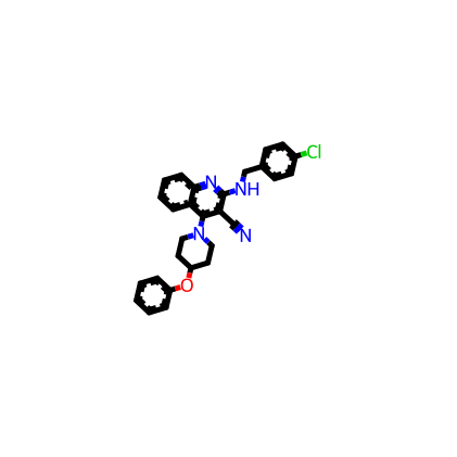 N#Cc1c(NCc2ccc(Cl)cc2)nc2ccccc2c1N1CCC(Oc2ccccc2)CC1